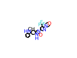 CN[C@]1(c2ccccc2)CC[C@@]2(CC1)CN(c1cnc(N3CCOCC3)c(C(F)(F)F)c1)C(=O)N2